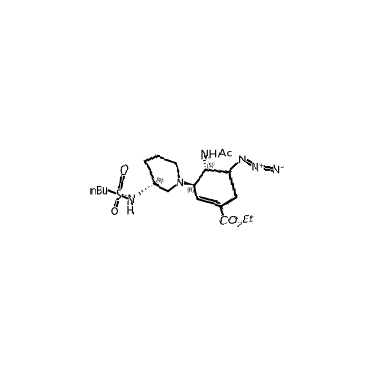 CCCCS(=O)(=O)N[C@@H]1CCCN([C@@H]2C=C(C(=O)OCC)CC(N=[N+]=[N-])[C@H]2NC(C)=O)C1